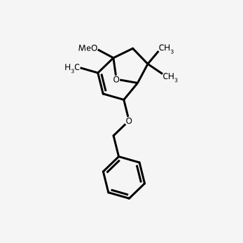 COC12CC(C)(C)C(O1)C(OCc1ccccc1)C=C2C